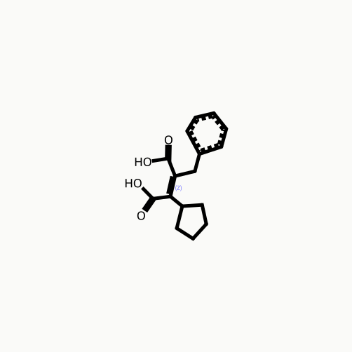 O=C(O)/C(Cc1ccccc1)=C(\C(=O)O)C1CCCC1